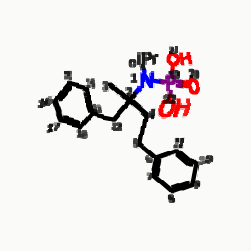 CC(C)N(C(C)(CCc1ccccc1)Cc1ccccc1)P(=O)(O)O